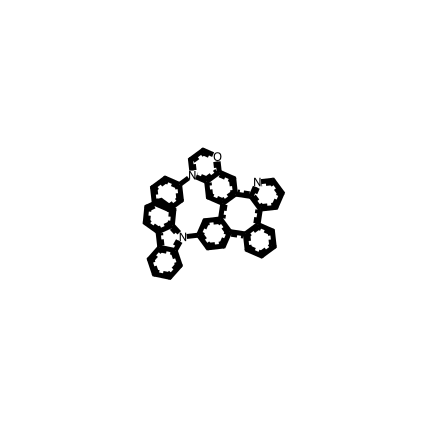 c1ccc(-n2ccoc3cc4c(cc32)c2cc(-n3c5ccccc5c5ccccc53)ccc2c2ccccc2c2cccnc24)cc1